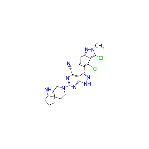 Cn1nc2ccc(-c3n[nH]c4nc(N5CCC6(CCCC6N)CC5)nc(C#N)c34)c(Cl)c2c1Cl